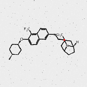 C[C@H]1CC[C@@H](Oc2ccc3cc(CCCN4C5CC[C@H]4CC(C(=O)O)C5)ccc3c2C(F)(F)F)CC1